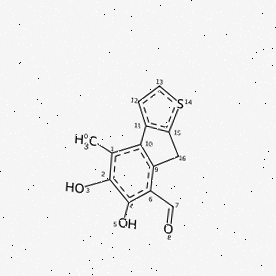 Cc1c(O)c(O)c(C=O)c2c1-c1ccsc1C2